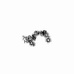 CC(C)COC(=O)c1[nH]c2ccc(F)cc2c1-c1cn(CC2CCN(CCNS(=O)(=O)N3CCC(Cc4ccccc4)CC3)CC2)nn1